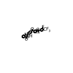 O=C(c1ccc2nc(-c3ccc(C(F)(F)F)c(F)c3)oc2c1)N1CCN(c2nc3ccccc3c(=O)[nH]2)CC1